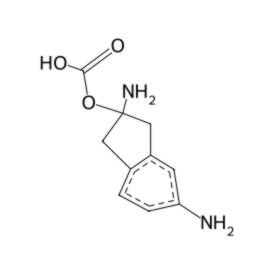 Nc1ccc2c(c1)CC(N)(OC(=O)O)C2